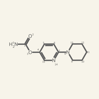 NC(=O)Oc1ccc(N2CCCCC2)nc1